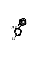 CCc1ccc([C]23[CH]4[CH]5[CH]6[CH]2[Fe]56432789[CH]3[CH]2[CH]7[C]8(C=O)[CH]39)cc1